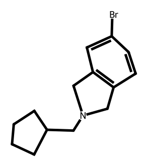 Brc1ccc2c(c1)CN(CC1CCCC1)C2